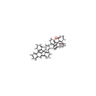 C1=CC2C(C=C1c1ccc3c(c1)C1(c4ccccc4O3)c3ccccc3-c3ccccc31)c1ccccc1C21c2ccccc2-c2cc3ccccc3cc21